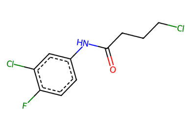 O=C(CCCCl)Nc1ccc(F)c(Cl)c1